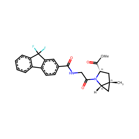 COC(=O)[C@@H]1C[C@]2(C)C[C@@H]2N1C(=O)CNC(=O)c1ccc2c(c1)C(F)(F)c1ccccc1-2